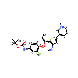 C=Nc1cc(C2=CCCN(C)C2)sc1/C(=C\C)Oc1ccc(NC(=O)OC(C)(C)C)cc1F